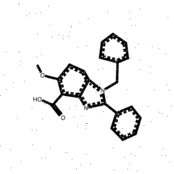 COc1ccc2c(nc(-c3ccccc3)n2Cc2ccccc2)c1C(=O)O